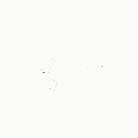 CO[C@H](CN[C@H]1CC[C@H](Nc2cc(-c3cc(NCC4CCOCC4)cnc3Cl)c(Cl)cn2)CC1)C(F)(F)F